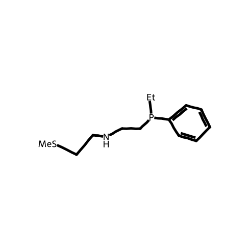 CCP(CCNCCSC)c1ccccc1